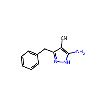 N#Cc1c(Cc2ccccc2)n[nH]c1N